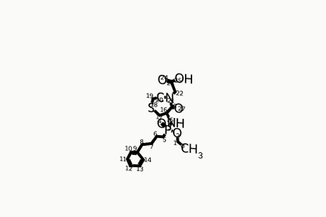 CCOP(=O)(CCCCc1ccccc1)NC1CSCCN(CC(=O)O)C1=O